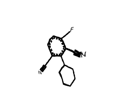 N#Cc1ccc(F)c(C#N)c1C1CCCCC1